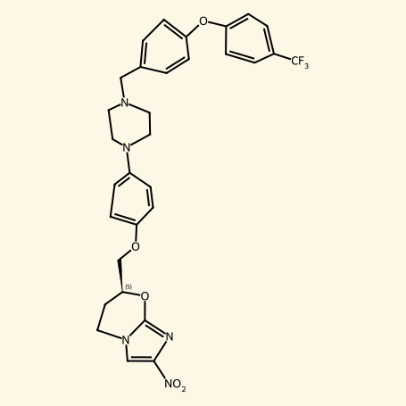 O=[N+]([O-])c1cn2c(n1)O[C@H](COc1ccc(N3CCN(Cc4ccc(Oc5ccc(C(F)(F)F)cc5)cc4)CC3)cc1)CC2